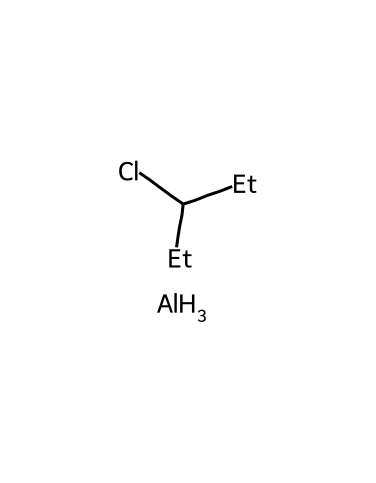 CCC(Cl)CC.[AlH3]